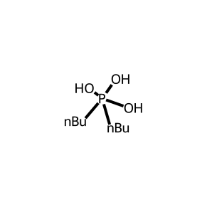 CCCCP(O)(O)(O)CCCC